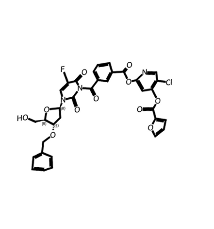 O=C(Oc1cc(OC(=O)c2ccco2)c(Cl)cn1)c1cccc(C(=O)n2c(=O)c(F)cn([C@H]3C[C@H](OCc4ccccc4)[C@@H](CO)O3)c2=O)c1